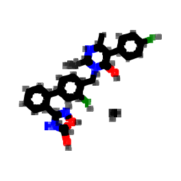 CCCCc1nc(C)c(-c2ccc(F)cc2)c(=O)n1Cc1ccc(-c2ccccc2-c2noc(=O)[nH]2)cc1F.[KH]